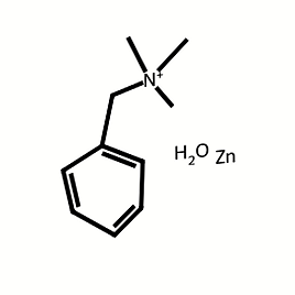 C[N+](C)(C)Cc1ccccc1.O.[Zn]